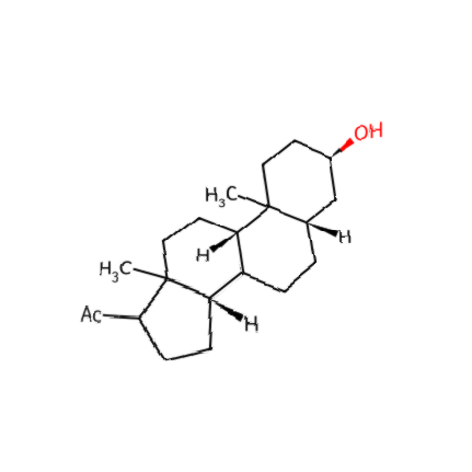 CC(=O)C1CC[C@H]2C3CC[C@H]4C[C@H](O)CCC4(C)[C@H]3CCC12C